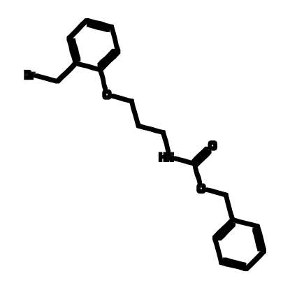 O=C(NCCCOc1ccccc1CBr)OCc1ccccc1